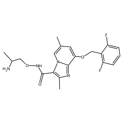 Cc1cc(OCc2c(F)cccc2F)c2nc(C)c(C(=O)NOCC(C)N)n2c1